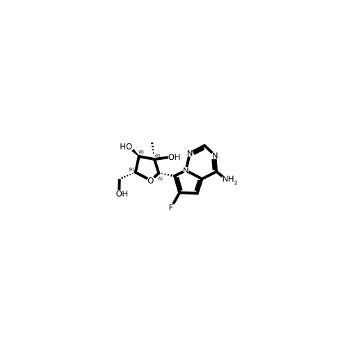 C[C@@]1(O)[C@H](O)[C@@H](CO)O[C@H]1c1c(F)cc2c(N)ncnn12